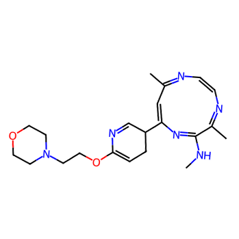 CNc1nc(C2C=NC(OCCN3CCOCC3)=CC2)cc(C)nccnc1C